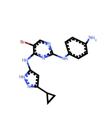 Nc1ccc(Nc2ncc(Br)c(Nc3cc(C4CC4)n[nH]3)n2)cc1